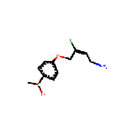 C[S+]([O-])c1ccc(OC/C(F)=C\CN)cc1